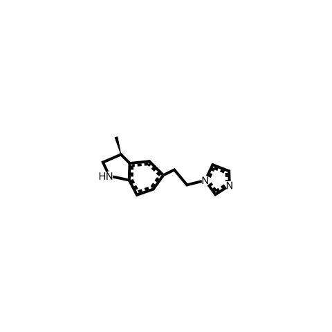 C[C@@H]1CNc2ccc(CCn3ccnc3)cc21